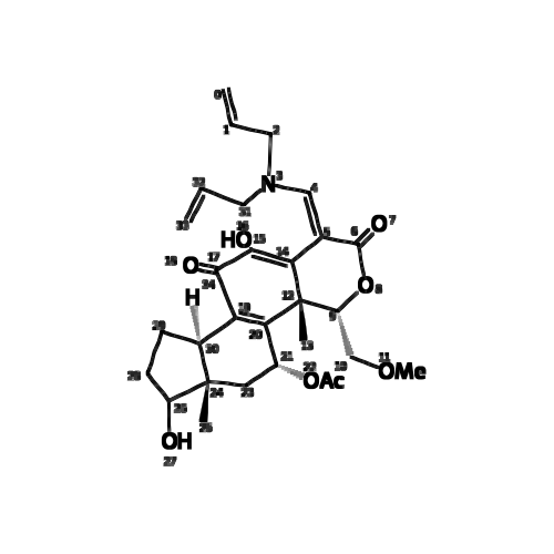 C=CCN(/C=C1/C(=O)O[C@H](COC)[C@@]2(C)C1=C(O)C(=O)C1=C2[C@H](OC(C)=O)C[C@]2(C)C(O)CC[C@@H]12)CC=C